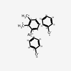 Cc1ccc[c]([Al+2])c1C.[O-]c1ccccc1.[O-]c1ccccc1